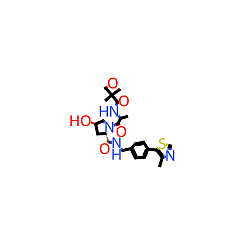 Cc1ncsc1-c1ccc(CNC(=O)[C@@H]2C[C@@H](O)CN2C(=O)C(C)NC(=O)C2(C)COC2)cc1